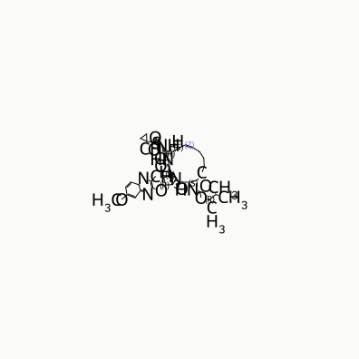 COc1ccc2nc(C)c(O[C@@H]3C[C@H]4C(=O)N[C@]5(C(=O)NS(=O)(=O)C6(C)CC6)C[C@H]5/C=C\CCCCC[C@H](NC(=O)O[C@H](C)C(C)C)C(=O)N4C3)nc2c1